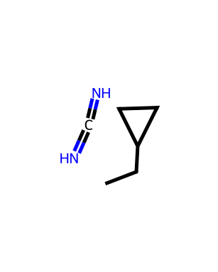 CCC1CC1.N=C=N